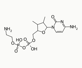 CC1C(COP(=O)(O)OP(=O)(O)OCCN)OC(n2ccc(N)nc2=O)C1C